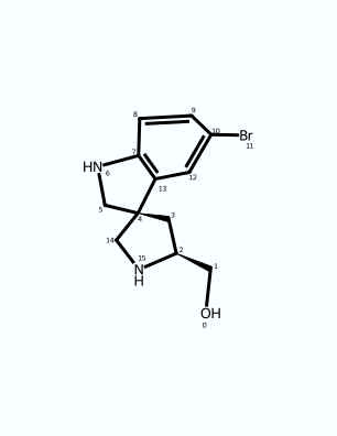 OC[C@@H]1C[C@]2(CNc3ccc(Br)cc32)CN1